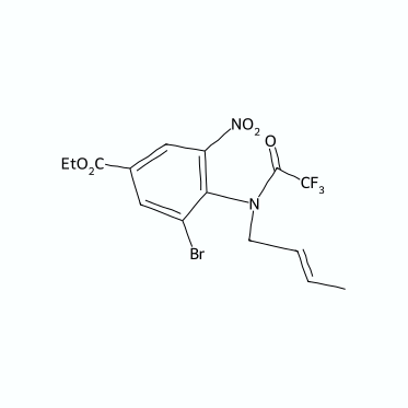 CC=CCN(C(=O)C(F)(F)F)c1c(Br)cc(C(=O)OCC)cc1[N+](=O)[O-]